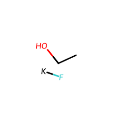 CCO.[F][K]